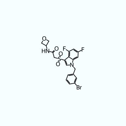 O=C(CS(=O)(=O)c1cn(Cc2cccc(Br)c2)c2cc(F)cc(F)c12)NC1COC1